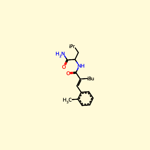 CCC(C)/C(=C\c1ccccc1C)C(=O)NC(CC(C)C)C(N)=O